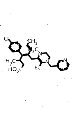 C/C=C/C(CC1=C(CC)N(Cc2cccnc2)CCN1C)=C(\c1ccc(Cl)cc1)C(C)CC(=O)O